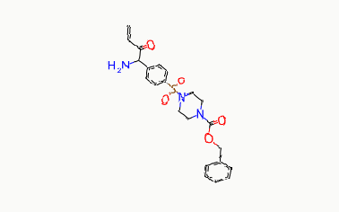 C=CC(=O)C(N)c1ccc(S(=O)(=O)N2CCN(C(=O)OCc3ccccc3)CC2)cc1